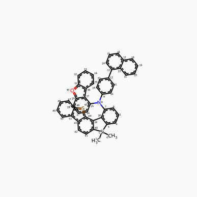 C[Si]1(C)c2cccc(N(c3ccc(-c4cccc5ccccc45)cc3)c3cccc4oc5ccccc5c34)c2-c2c1ccc1c2sc2ccccc21